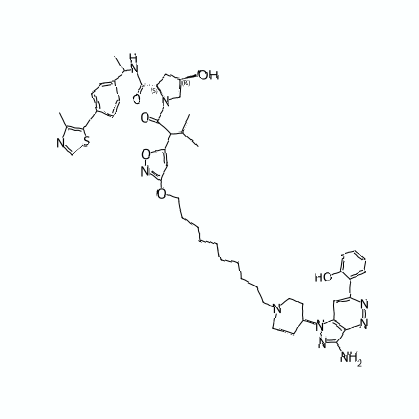 Cc1ncsc1-c1ccc(C(C)NC(=O)[C@@H]2C[C@@H](O)CN2C(=O)C(c2cc(OCCCCCCCCCCN3CCC(n4nc(N)c5nnc(-c6ccccc6O)cc54)CC3)no2)C(C)C)cc1